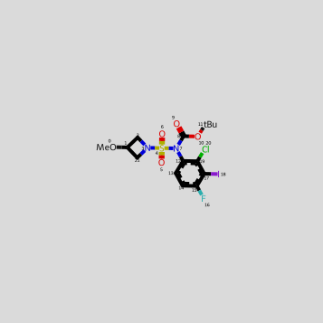 COC1CN(S(=O)(=O)N(C(=O)OC(C)(C)C)c2ccc(F)c(I)c2Cl)C1